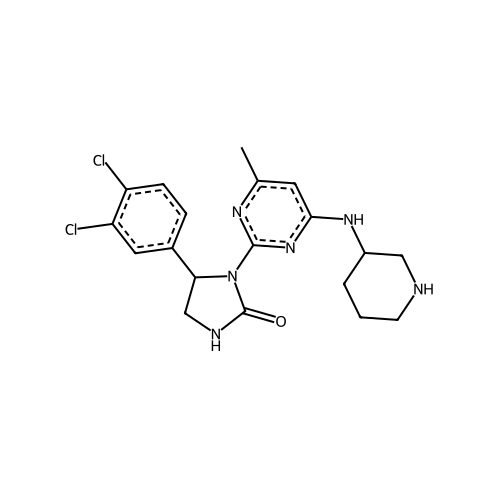 Cc1cc(NC2CCCNC2)nc(N2C(=O)NCC2c2ccc(Cl)c(Cl)c2)n1